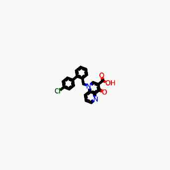 O=C(O)c1cn(Cc2ccccc2-c2ccc(Cl)cc2)c2cccnc2c1=O